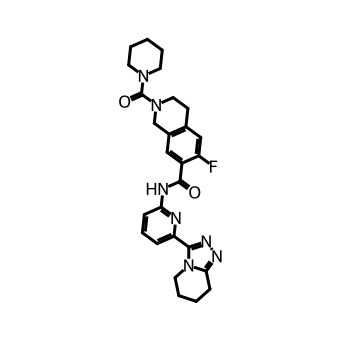 O=C(Nc1cccc(-c2nnc3n2CCCC3)n1)c1cc2c(cc1F)CCN(C(=O)N1CCCCC1)C2